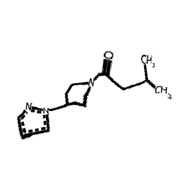 CC(C)CC(=O)N1CC(n2cccn2)C1